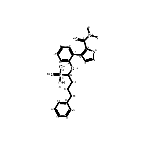 CN(C)C(=S)c1sccc1-c1ccccc1OC(CCCc1ccccc1)P(=O)(O)O